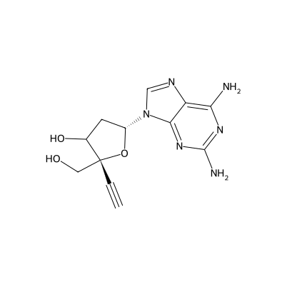 C#C[C@]1(CO)O[C@@H](n2cnc3c(N)nc(N)nc32)CC1O